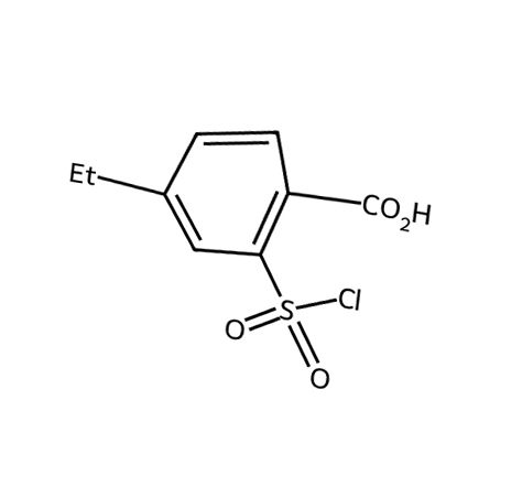 CCc1ccc(C(=O)O)c(S(=O)(=O)Cl)c1